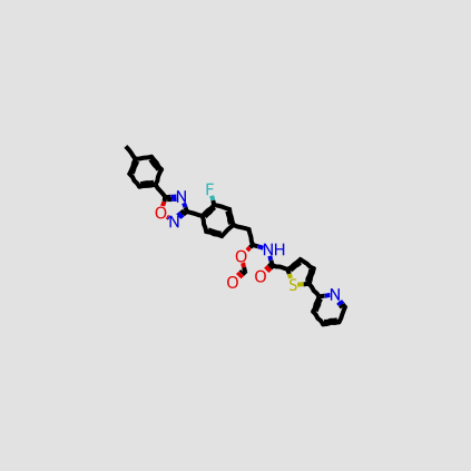 Cc1ccc(-c2nc(-c3ccc(CC(NC(=O)c4ccc(-c5ccccn5)s4)OC=O)cc3F)no2)cc1